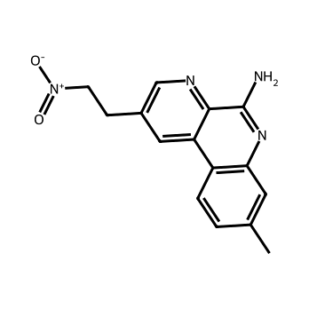 Cc1ccc2c(c1)nc(N)c1ncc(CC[N+](=O)[O-])cc12